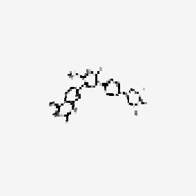 Cc1nc2cc(-c3cc(-c4ccc(N5C[C@@H](C)N(C)[C@@H](C)C5)cc4)c(F)nc3N)ccc2c(=O)[nH]1